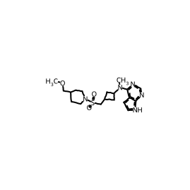 COCC1CCN(S(=O)(=O)CC2CC(N(C)c3ncnc4[nH]ccc34)C2)CC1